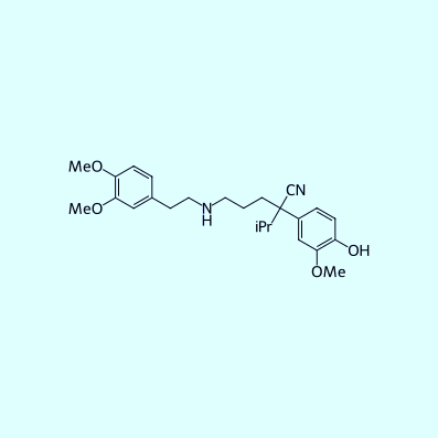 COc1cc(C(C#N)(CCCNCCc2ccc(OC)c(OC)c2)C(C)C)ccc1O